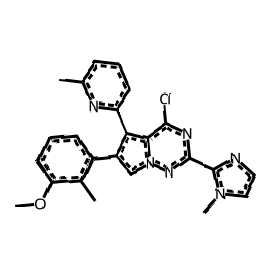 COc1cccc(-c2cn3nc(-c4nccn4C)nc(Cl)c3c2-c2cccc(C)n2)c1C